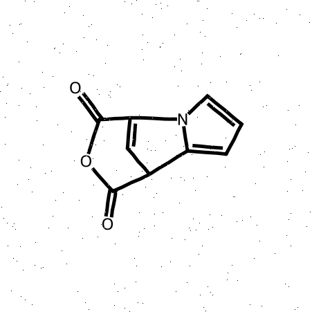 O=C1OC(=O)C2C=C1n1cccc12